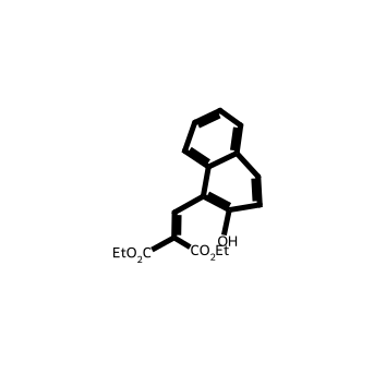 CCOC(=O)C(=Cc1c(O)ccc2ccccc12)C(=O)OCC